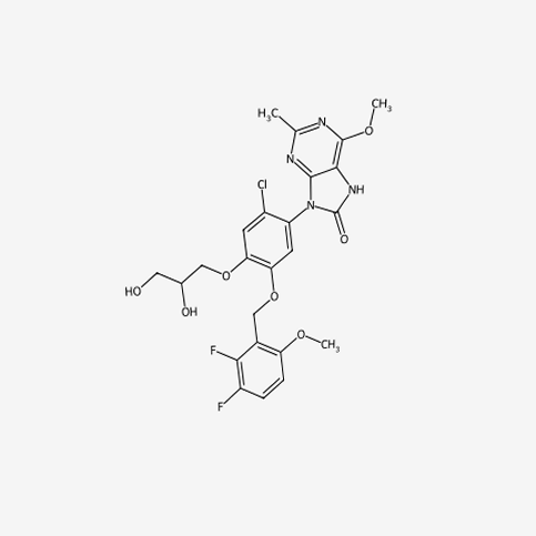 COc1ccc(F)c(F)c1COc1cc(-n2c(=O)[nH]c3c(OC)nc(C)nc32)c(Cl)cc1OCC(O)CO